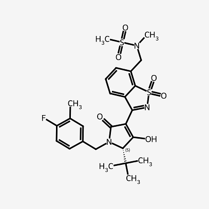 Cc1cc(CN2C(=O)C(C3=NS(=O)(=O)c4c(CN(C)S(C)(=O)=O)cccc43)=C(O)[C@@H]2C(C)(C)C)ccc1F